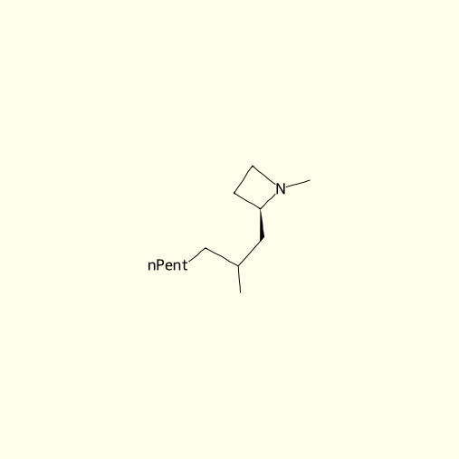 CCCCCCC(C)C[C@H]1CCN1C